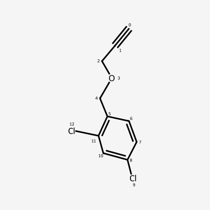 C#CCOCc1ccc(Cl)cc1Cl